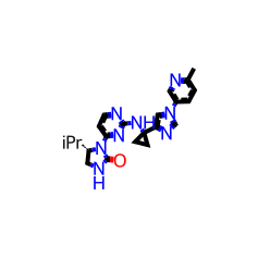 Cc1ccc(-n2cnc(C3(Nc4nccc(N5C(=O)NC[C@@H]5C(C)C)n4)CC3)c2)cn1